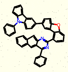 c1ccc(-c2nc(-c3cccc4oc5ccc(-c6ccc7c(c6)c6ccccc6n7-c6ccccc6)cc5c34)nc3cc4ccccc4cc23)cc1